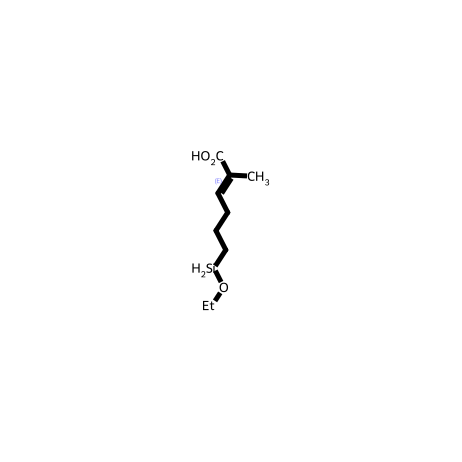 CCO[SiH2]CCC/C=C(\C)C(=O)O